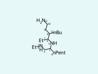 CCCCCC(CNCC)NC(CC)C(CCN)CCCC